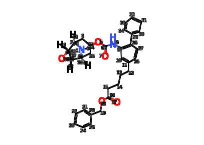 CN1[C@@H]2C[C@@H](OC(=O)Nc3cc(CCCCC(=O)OCc4ccccc4)ccc3-c3ccccc3)C[C@H]1[C@@H]1O[C@@H]12